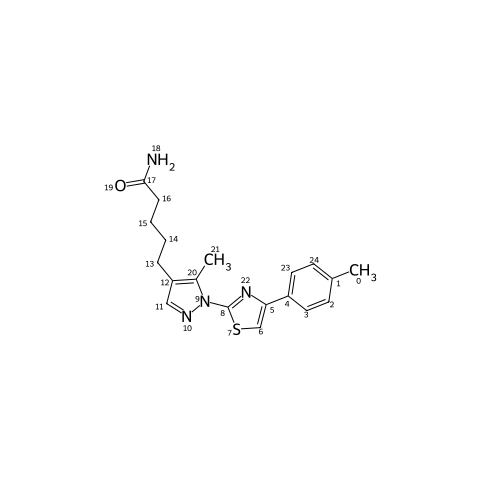 Cc1ccc(-c2csc(-n3ncc(CCCCC(N)=O)c3C)n2)cc1